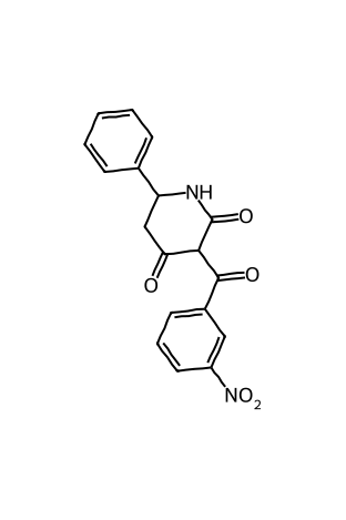 O=C1CC(c2ccccc2)NC(=O)C1C(=O)c1cccc([N+](=O)[O-])c1